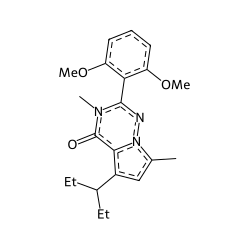 CCC(CC)c1cc(C)n2nc(-c3c(OC)cccc3OC)n(C)c(=O)c12